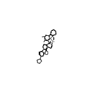 Cc1cc2c(oc3ccccc32)c(-c2c3ccc4c5ccc(C6CCCC6)cc5oc4c3cc[n+]2C)c1C